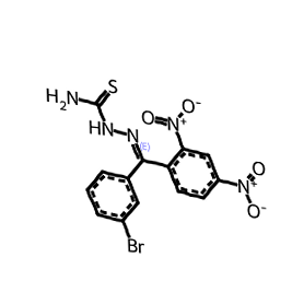 NC(=S)N/N=C(\c1cccc(Br)c1)c1ccc([N+](=O)[O-])cc1[N+](=O)[O-]